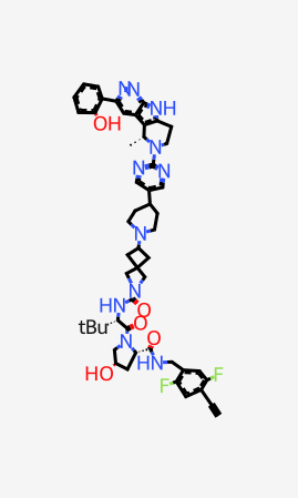 C#Cc1cc(F)c(CNC(=O)[C@@H]2C[C@@H](O)CN2C(=O)[C@@H](NC(=O)N2CC3(CC(N4CCC(c5cnc(N6CCc7[nH]c8nnc(-c9ccccc9O)cc8c7[C@H]6C)nc5)CC4)C3)C2)C(C)(C)C)cc1F